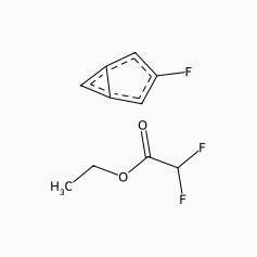 CCOC(=O)C(F)F.Fc1cc2cc-2c1